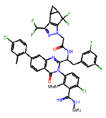 CNc1c(-n2c(C(Cc3cc(F)cc(F)c3)NC(=O)Cn3nc(C(F)F)c4c3C(F)(F)C3CC43)nc3cc(-c4ccc(Cl)cc4C)ccc3c2=O)ccc(Cl)c1C(=N)NSC